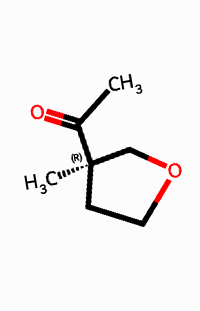 CC(=O)[C@]1(C)CCOC1